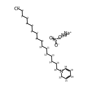 ClCCCCCCCCCCCCCCCCN1C=CC=CC1.O=S([O-])[O-].[Na+].[Na+]